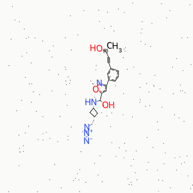 C[C@@H](O)C#Cc1cccc(-c2cc(C(O)N[C@H]3C[C@@H](CN=[N+]=[N-])C3)on2)c1